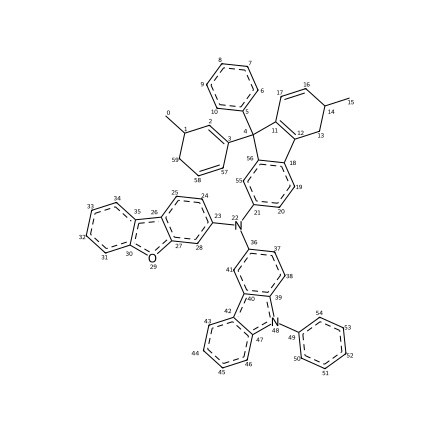 CC1C=C(C2(c3ccccc3)C3=C(CC(C)C=C3)c3ccc(N(c4ccc5c(c4)oc4ccccc45)c4ccc5c(c4)c4ccccc4n5-c4ccccc4)cc32)C=CC1